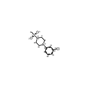 CS(=O)(=O)N1CCN(c2cccc(Cl)c2)CC1